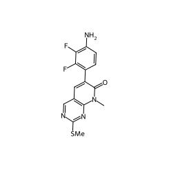 CSc1ncc2cc(-c3ccc(N)c(F)c3F)c(=O)n(C)c2n1